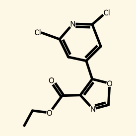 CCOC(=O)c1ncoc1-c1cc(Cl)nc(Cl)c1